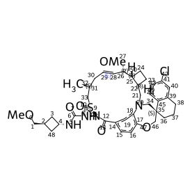 COC[C@H]1C[C@H](NC(=O)N[S@@]2(=O)=NC(=O)c3ccc4c(c3)N(C[C@@H]3CC[C@H]3[C@@H](OC)/C=C/C[C@H](C)C2)C[C@@]2(CCCc3cc(Cl)ccc32)CO4)C1